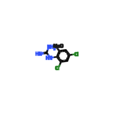 COc1cc(Cl)cc(Cl)c1NC(=N)N